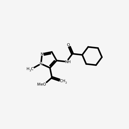 C=C(OC)c1c(NC(=O)C2CCCCC2)cnn1C